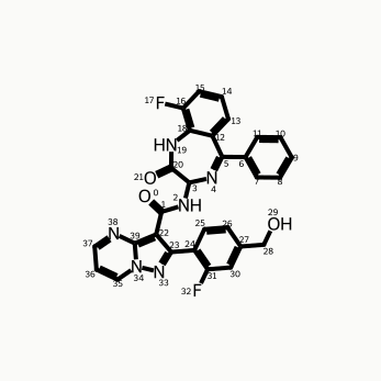 O=C(NC1N=C(c2ccccc2)c2cccc(F)c2NC1=O)c1c(-c2ccc(CO)cc2F)nn2cccnc12